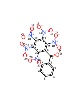 O=C(c1ccccc1)c1c([N+](=O)[O-])c([N+](=O)[O-])c([N+](=O)[O-])c([N+](=O)[O-])c1[N+](=O)[O-]